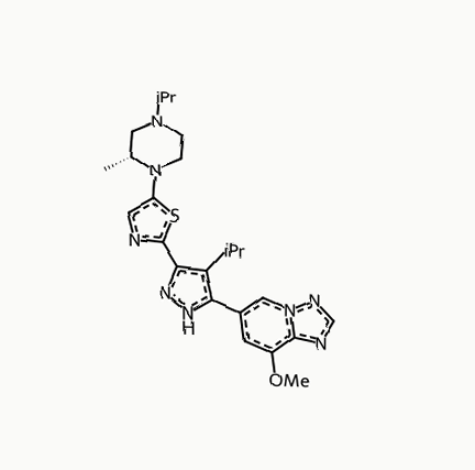 COc1cc(-c2[nH]nc(-c3ncc(N4CCN(C(C)C)C[C@H]4C)s3)c2C(C)C)cn2ncnc12